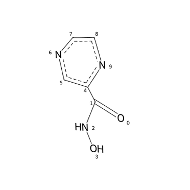 O=C(NO)c1cnccn1